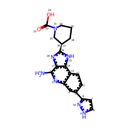 Nc1nc2cc(-c3cc[nH]n3)ccc2c2[nH]c([C@@H]3CCCN(C(=O)O)C3)nc12